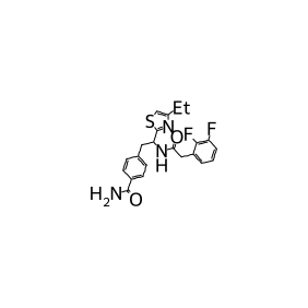 CCc1csc(C(Cc2ccc(C(N)=O)cc2)NC(=O)Cc2cccc(F)c2F)n1